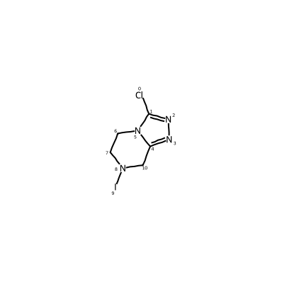 Clc1nnc2n1CCN(I)C2